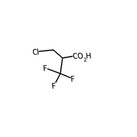 O=C(O)C(CCl)C(F)(F)F